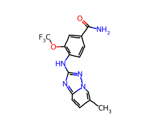 Cc1ccc2nc(Nc3ccc(C(N)=O)cc3OC(F)(F)F)nn2c1